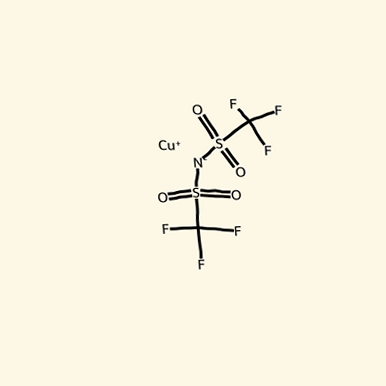 O=S(=O)([N-]S(=O)(=O)C(F)(F)F)C(F)(F)F.[Cu+]